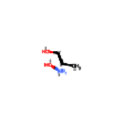 CCCO.NO